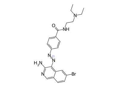 CCN(CC)CCNC(=O)c1ccc(/N=N/c2c(N)ncc3ccc(Br)cc23)cc1